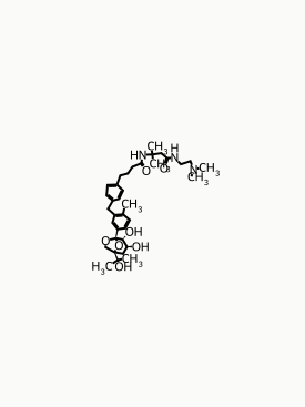 Cc1ccc([C@@]23OC[C@@](C(C)(C)O)(C[C@H](O)[C@H]2O)O3)cc1Cc1ccc(CCCC(=O)NC(C)(C)CC(=O)NCCN(C)C)cc1